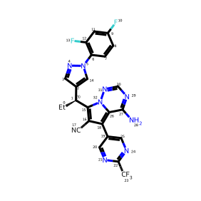 CC[C@@H](c1cnn(-c2ccc(F)cc2F)c1)c1c(C#N)c(-c2cnc(C(F)(F)F)nc2)c2c(N)ncnn12